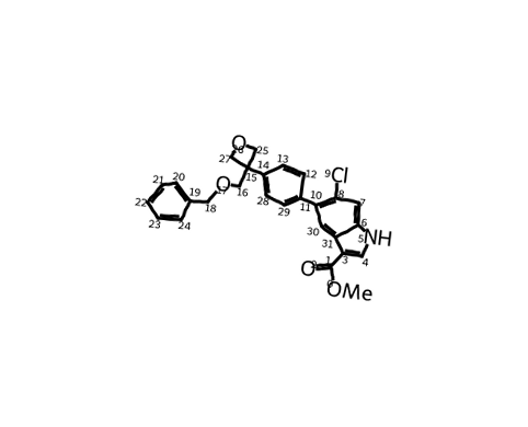 COC(=O)c1c[nH]c2cc(Cl)c(-c3ccc(C4(COCc5ccccc5)COC4)cc3)cc12